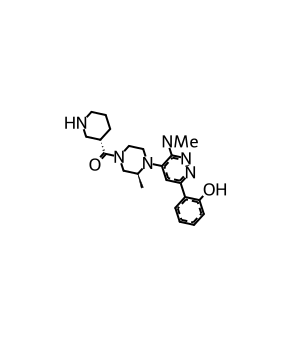 CNc1nnc(-c2ccccc2O)cc1N1CCN(C(=O)[C@H]2CCCNC2)C[C@@H]1C